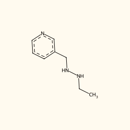 CCNNCc1cccnc1